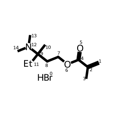 Br.C=C(C)C(=O)OCCC(C)(CC)N(C)C